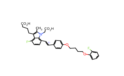 Cc1c(CCCC(=O)O)c2c(F)ccc(/C=C/c3ccc(OCCCCOc4ccccc4F)cc3)c2n1CC(=O)O